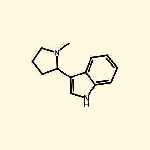 CN1CCCC1c1c[nH]c2ccccc12